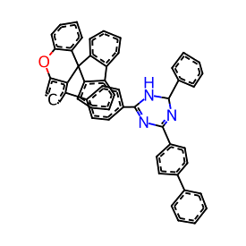 c1ccc(-c2ccc(C3=NC(c4ccccc4)NC(c4ccc(-c5cccc6c5C5(c7ccccc7O6)c6ccccc6-c6ccccc65)cc4)=N3)cc2)cc1